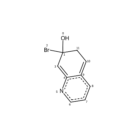 OC1(Br)C=c2ncccc2=CC1